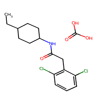 CCC1CCC(NC(=O)Cc2c(Cl)cccc2Cl)CC1.O=C(O)O